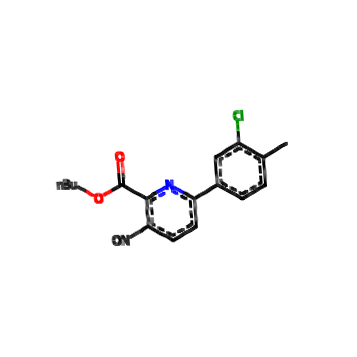 CCCCOC(=O)c1nc(-c2ccc(C)c(Cl)c2)ccc1N=O